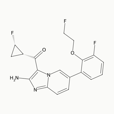 Nc1nc2ccc(-c3cccc(F)c3OCCF)cn2c1C(=O)[C@@H]1C[C@@H]1F